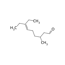 CCC(=CCCC(C)CC=O)CC